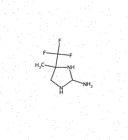 CC1(C(F)(F)F)CNC(N)N1